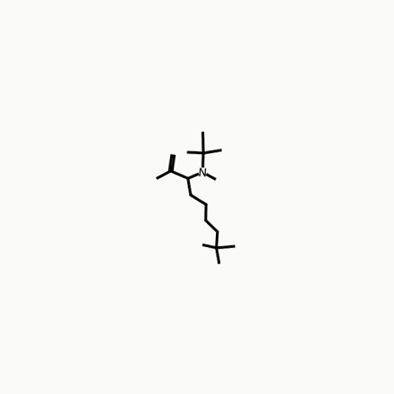 C=C(C)C(CCCCC(C)(C)C)N(C)C(C)(C)C